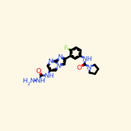 NNC(=O)Nc1cnc2nc(-c3cc(NC(=O)N4CCCC4)ccc3F)cn2c1